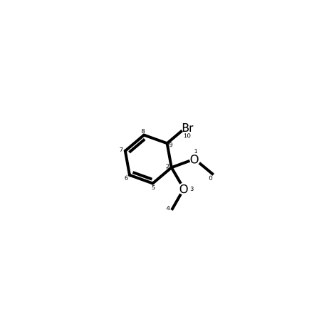 COC1(OC)C=CC=CC1Br